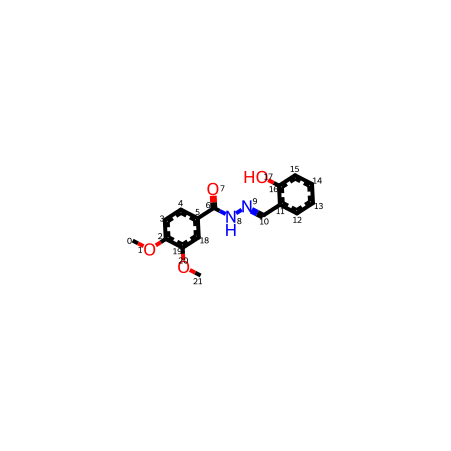 COc1ccc(C(=O)NN=Cc2ccccc2O)cc1OC